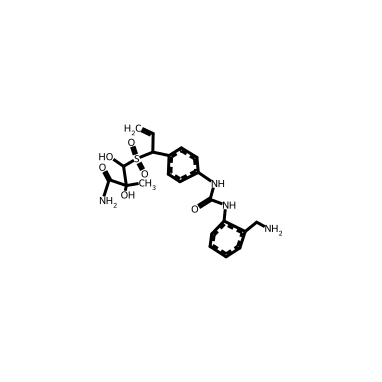 C=CC(c1ccc(NC(=O)Nc2ccccc2CN)cc1)S(=O)(=O)C(O)C(C)(O)C(N)=O